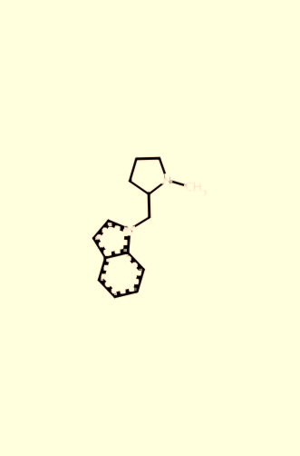 CN1CCCC1Cn1ccc2ccccc21